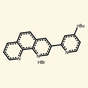 Br.CCCCc1ccnc(-c2cnc3c(ccc4cccnc43)c2)c1